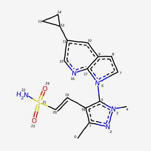 Cc1nn(C)c(-n2ccc3cc(C4CC4)cnc32)c1C=CS(N)(=O)=O